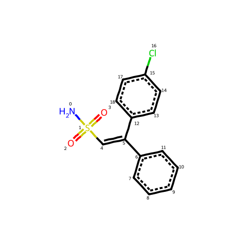 NS(=O)(=O)C=C(c1ccccc1)c1ccc(Cl)cc1